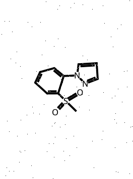 CS(=O)(=O)c1ccccc1-n1cccn1